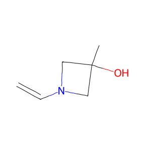 C=CN1CC(C)(O)C1